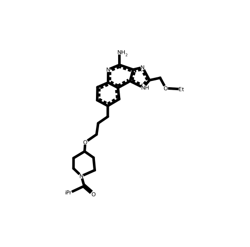 CCOCc1nc2c(N)nc3ccc(CCCOC4CCN(C(=O)C(C)C)CC4)cc3c2[nH]1